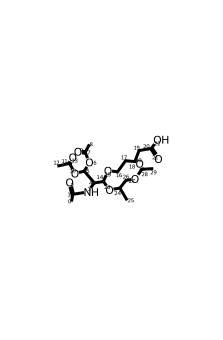 CC(=O)NC(C(OC(C)=O)OC(C)=O)C(OCCCCC(=O)O)OC(C)COC(C)=O